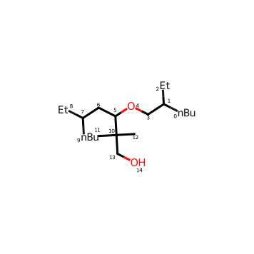 CCCCC(CC)COC(CC(CC)CCCC)C(C)(C)CO